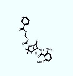 COc1cccc(OC)c1C(=O)N[C@@H]1C(=O)N2[C@@H]1SC(C)(C)[C@@H]2C(=O)OCOC(=O)c1cccnc1